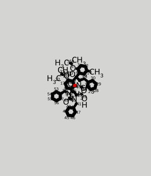 Cc1ccc(OC(C)C)c(C(O)(c2cc(C)ccc2OC(C)C)C(Cc2ccccc2)N(C)C(=O)[C@@H]2[C@H](C(=O)O)N(Cc3ccccc3)C(=O)N2Cc2ccccc2)c1